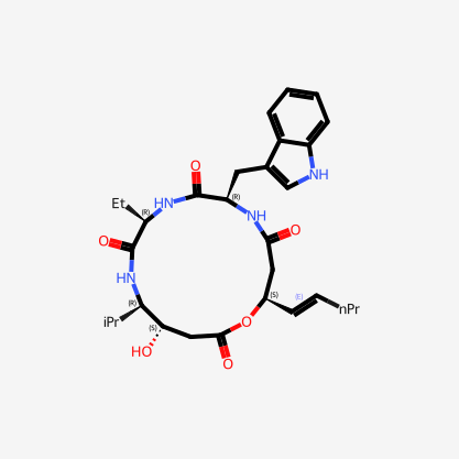 CCC/C=C/[C@@H]1CC(=O)N[C@H](Cc2c[nH]c3ccccc23)C(=O)N[C@H](CC)C(=O)N[C@H](C(C)C)[C@@H](O)CC(=O)O1